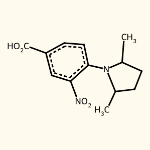 CC1CCC(C)N1c1ccc(C(=O)O)cc1[N+](=O)[O-]